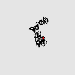 CC1CCCC(C(NC(=O)c2cnc(N3CC4(C=CCC4)c4cc(OC5CCN(c6ncccn6)CC5)ccc43)nc2C(F)(F)F)(C(=O)O)C(C)C)C1